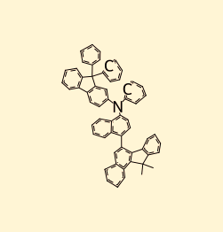 CC1(C)c2ccccc2-c2c(-c3ccc(N(c4ccccc4)c4ccc5c(c4)C(c4ccccc4)(c4ccccc4)c4ccccc4-5)c4ccccc34)cc3ccccc3c21